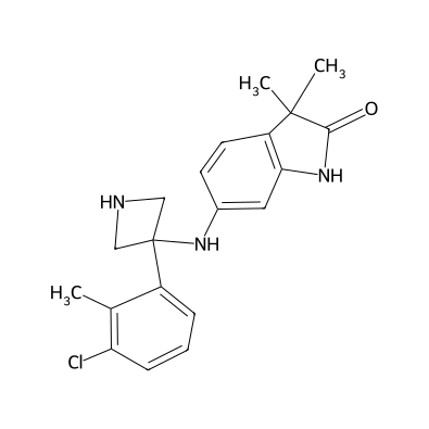 Cc1c(Cl)cccc1C1(Nc2ccc3c(c2)NC(=O)C3(C)C)CNC1